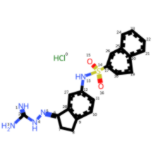 Cl.N=C(N)NN=C1CCc2ccc(NS(=O)(=O)c3ccc4ccccc4c3)cc21